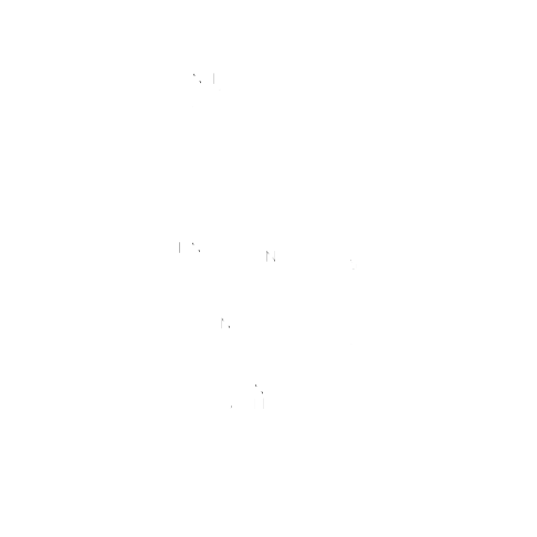 Cc1csc2nc(Nc3ccc(N)cc3)nc(NC3(C)CC3)c12